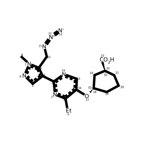 CCc1nc(-c2cnn(C)c2CN=[N+]=[N-])ncc1O[C@H]1CCC[C@H](C(=O)O)C1